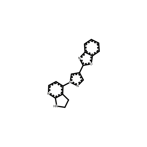 c1ccc2oc(-c3cnn(-c4ccnc5c4CCN5)c3)nc2c1